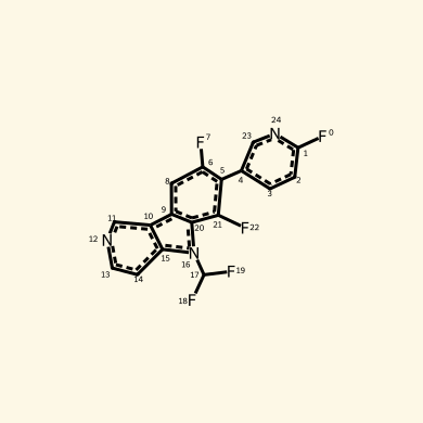 Fc1ccc(-c2c(F)cc3c4cnccc4n(C(F)F)c3c2F)cn1